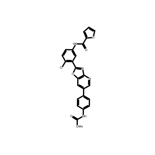 COC(=O)Nc1ccc(-c2cnc3nc(-c4cc(NC(=O)c5ccco5)ccc4Cl)oc3c2)cc1